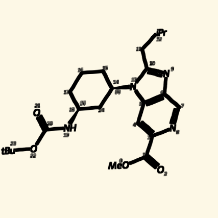 COC(=O)c1cc2c(cn1)nc(CC(C)C)n2[C@@H]1CCC[C@H](NC(=O)OC(C)(C)C)C1